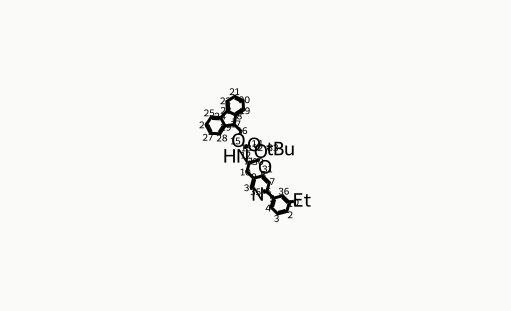 CCc1cccc(-c2ccc(CC(NC(=O)OCC3c4ccccc4-c4ccccc43)C(=O)OC(C)(C)C)cn2)c1